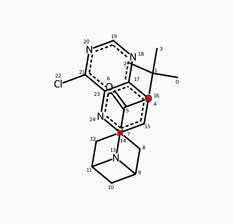 CC(C)(C)OC(=O)N1CC2CC(C1)N2c1ccc2ncnc(Cl)c2n1